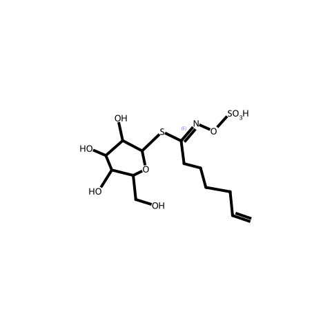 C=CCCCC/C(=N\OS(=O)(=O)O)SC1OC(CO)C(O)C(O)C1O